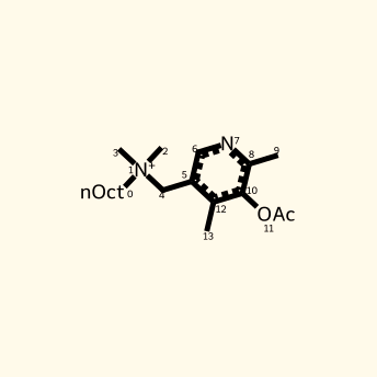 CCCCCCCC[N+](C)(C)Cc1cnc(C)c(OC(C)=O)c1C